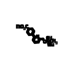 CCOC(=O)C1CC=C(c2cccc(CO[Si](C)(C)C(C)(C)C)n2)CC1